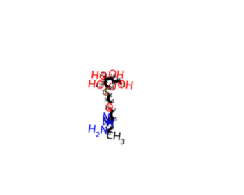 C[C@H](N)Cn1cc(COCCCSC2OC(CO)C(O)C(O)C2O)nn1